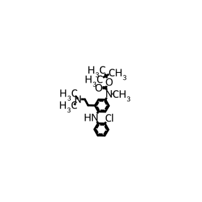 CN(C)CCc1cc(N(C)C(=O)OC(C)(C)C)ccc1Nc1ccccc1Cl